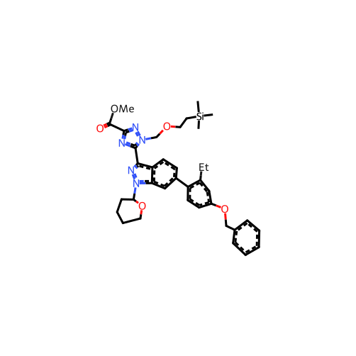 CCc1cc(OCc2ccccc2)ccc1-c1ccc2c(-c3nc(C(=O)OC)nn3COCC[Si](C)(C)C)nn(C3CCCCO3)c2c1